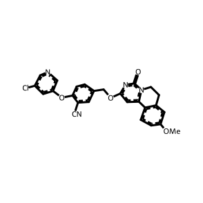 COc1ccc2c(c1)CCn1c-2cc(OCc2ccc(Oc3cncc(Cl)c3)c(C#N)c2)nc1=O